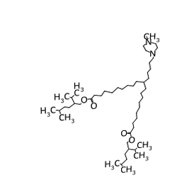 CC(C)CCC(COC(=O)CCCCCCCCCC(CCCCCCCCCC(=O)OCC(CCC(C)C)C(C)C)CCCCCN1CCN(C)CC1)C(C)C